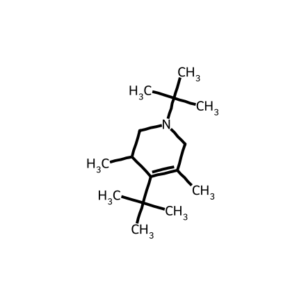 CC1=C(C(C)(C)C)C(C)CN(C(C)(C)C)C1